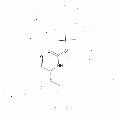 CC[C@H](C=O)NC(=O)OC(C)(C)C